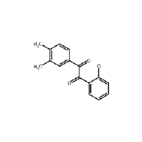 Cc1ccc(C(=O)C(=O)c2ccccc2Cl)cc1C